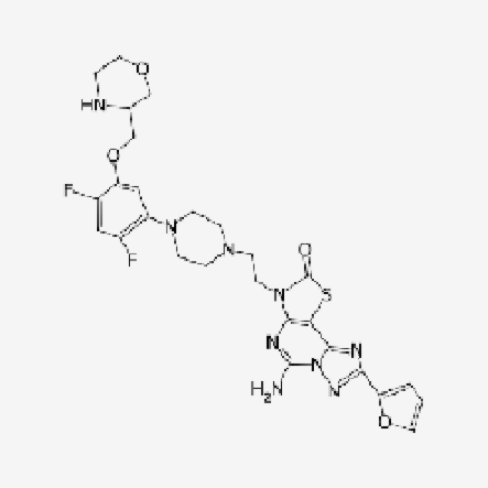 Nc1nc2c(sc(=O)n2CCN2CCN(c3cc(OCC4COCCN4)c(F)cc3F)CC2)c2nc(-c3ccco3)nn12